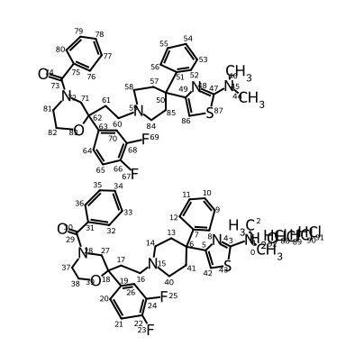 CN(C)c1nc(C2(c3ccccc3)CCN(CCC3(c4ccc(F)c(F)c4)CN(C(=O)c4ccccc4)CCO3)CC2)cs1.CN(C)c1nc(C2(c3ccccc3)CCN(CCC3(c4ccc(F)c(F)c4)CN(C(=O)c4ccccc4)CCO3)CC2)cs1.Cl.Cl.Cl.Cl.O